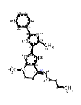 C=CCO/N=C1\CCN(C)c2oc(-c3sc(-c4cccnc4)nc3C)nc21